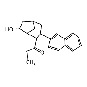 CCC(=O)C1C(c2ccc3ccccc3c2)CC2CC(O)C1C2